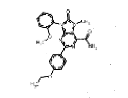 CCOc1ccc(-c2nc(C(N)=O)c3c(n2)n(-c2ccccc2OC)c(=O)n3C)cc1